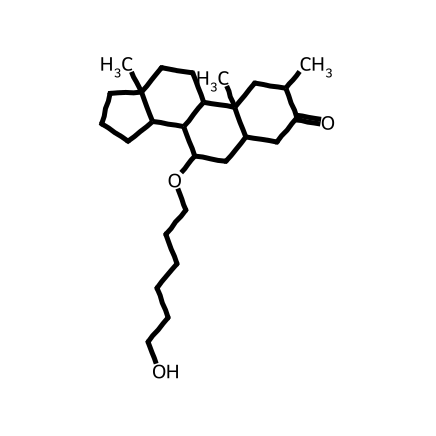 CC1CC2(C)C(CC1=O)CC(OCCCCCCO)C1C3CCCC3(C)CCC12